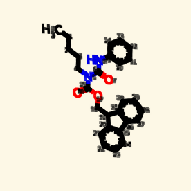 CCCCCN(C(=O)Nc1ccccc1)C(=O)OCC1c2ccccc2-c2ccccc21